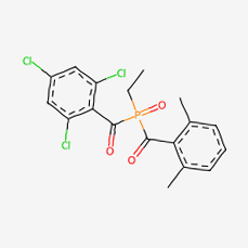 CCP(=O)(C(=O)c1c(C)cccc1C)C(=O)c1c(Cl)cc(Cl)cc1Cl